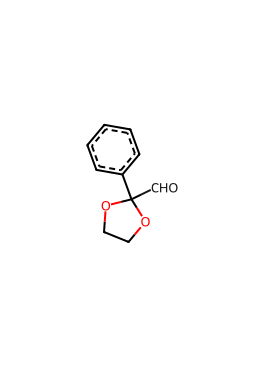 O=CC1(c2ccccc2)OCCO1